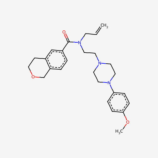 C=CCN(CCN1CCN(c2ccc(OC)cc2)CC1)C(=O)c1ccc2c(c1)CCOC2